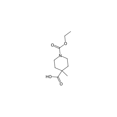 CCOC(=O)N1CCC(C)(C(=O)O)CC1